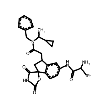 CC(C)C(N)C(=O)Nc1ccc2c(c1)C(CC(=O)N(Cc1ccccc1)C(C)C1CC1)CC21OC(=O)NC1=O